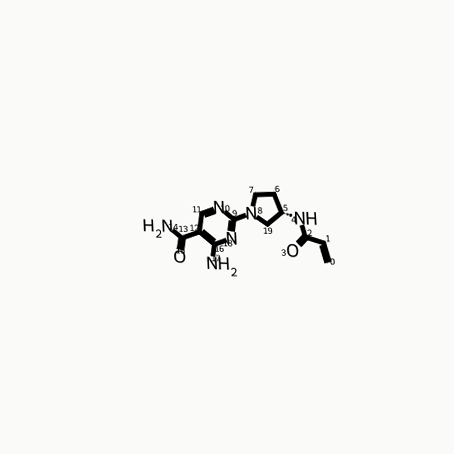 C=CC(=O)N[C@H]1CCN(c2ncc(C(N)=O)c(N)n2)C1